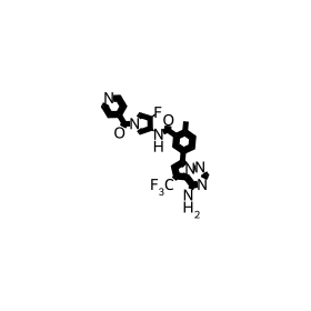 Cc1ccc(-c2cc(C(F)(F)F)c3c(N)ncnn23)cc1C(=O)N[C@@H]1CN(C(=O)c2ccncc2)C[C@@H]1F